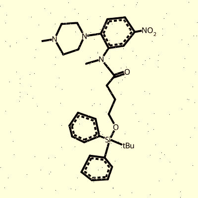 CN1CCN(c2ccc([N+](=O)[O-])cc2N(C)C(=O)CCCO[Si](c2ccccc2)(c2ccccc2)C(C)(C)C)CC1